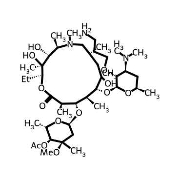 CC[C@H]1OC(=O)[C@H](C)[C@@H](O[C@H]2C[C@@](C)(OC)[C@@H](OC(C)=O)[C@H](C)O2)[C@H](C)[C@@H](O[C@@H]2O[C@H](C)C[C@H](N(C)C)[C@H]2OCCCN)[C@](C)(O)C[C@@H](C)CN(C)[C@H](C)[C@@H](O)[C@]1(C)O